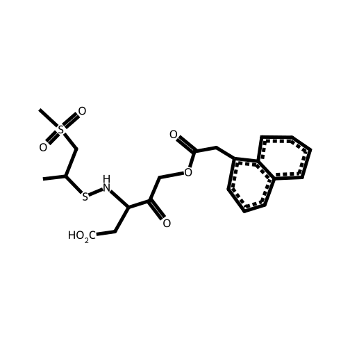 CC(CS(C)(=O)=O)SNC(CC(=O)O)C(=O)COC(=O)Cc1cccc2ccccc12